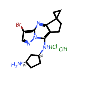 Cl.Cl.N[C@H]1CC[C@H](Nc2c3c(nc4c(Br)cnn24)C2(CC3)CC2)C1